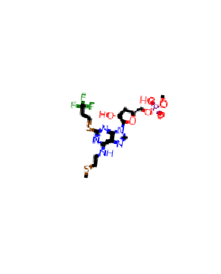 COP(=O)(O)OC[C@@H]1C[C@@H](O)[C@H](n2cnc3c(NCCSC)nc(SCCC(F)(F)F)nc32)O1